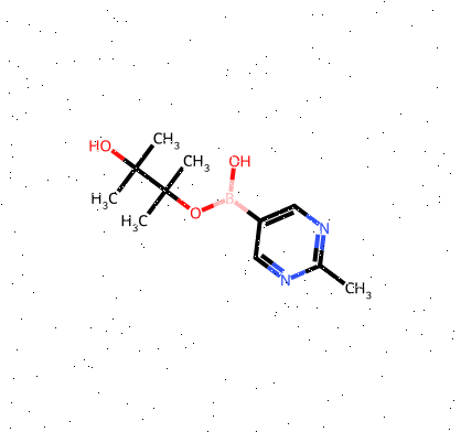 Cc1ncc(B(O)OC(C)(C)C(C)(C)O)cn1